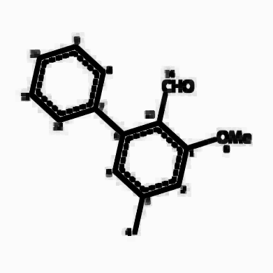 COc1cc(C)cc(-c2ccccc2)c1C=O